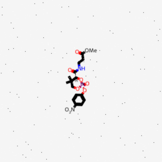 COC(=O)CCNC(=O)[C@@H]1O[P@@](=O)(Oc2ccc([N+](=O)[O-])cc2)OCC1(C)C